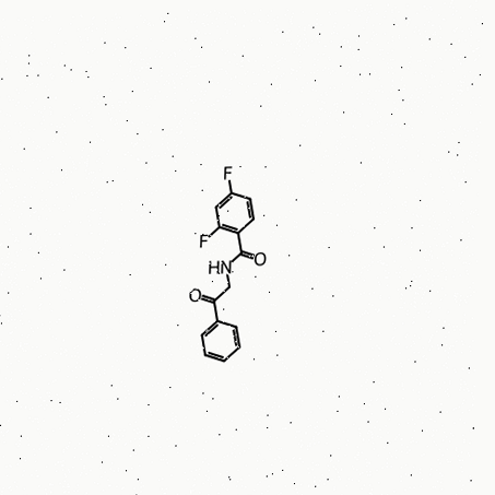 O=C(CNC(=O)c1ccc(F)cc1F)c1ccccc1